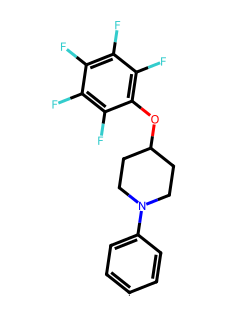 Fc1c(F)c(F)c(OC2CCN(c3cc[c]cc3)CC2)c(F)c1F